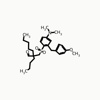 CCCCCC(C=O)(CCCC)CS(=O)(=O)c1ccc(N(C)C)cc1Cc1ccc(OC)cc1